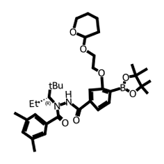 CC[C@@H](N(NC(=O)c1ccc(B2OC(C)(C)C(C)(C)O2)c(OCCOC2CCCCO2)c1)C(=O)c1cc(C)cc(C)c1)C(C)(C)C